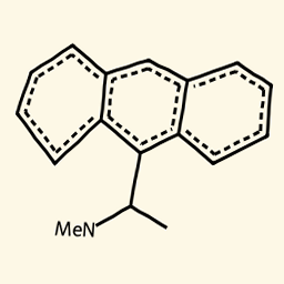 CNC(C)c1c2ccccc2cc2ccccc12